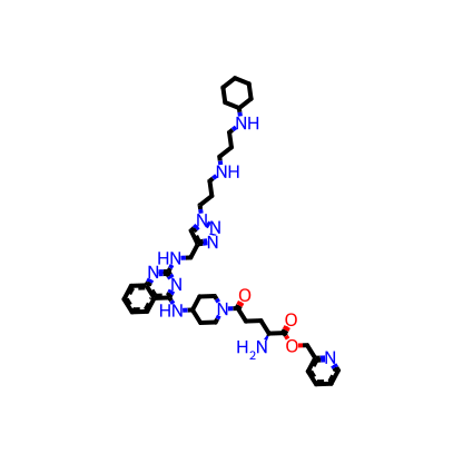 N[C@@H](CCC(=O)N1CCC(Nc2nc(NCc3cn(CCCNCCCNC4CCCCC4)nn3)nc3ccccc23)CC1)C(=O)OCc1ccccn1